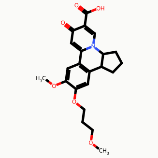 COCCCOc1cc2c(cc1OC)-c1cc(=O)c(C(=O)O)cn1C1CCCC21